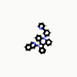 c1ccc2c(c#1)C1C3=C(CCC=C3)N(C3=CCCC(c4ccccn4)=C3)c3ccccc3C1N2c1cc2ccccc2cn1